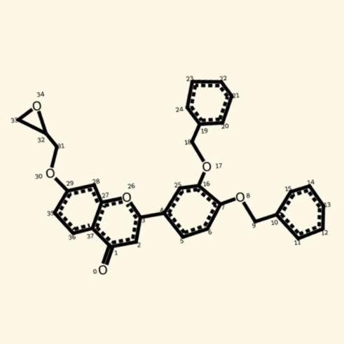 O=c1cc(-c2ccc(OCc3ccccc3)c(OCc3ccccc3)c2)oc2cc(OCC3CO3)ccc12